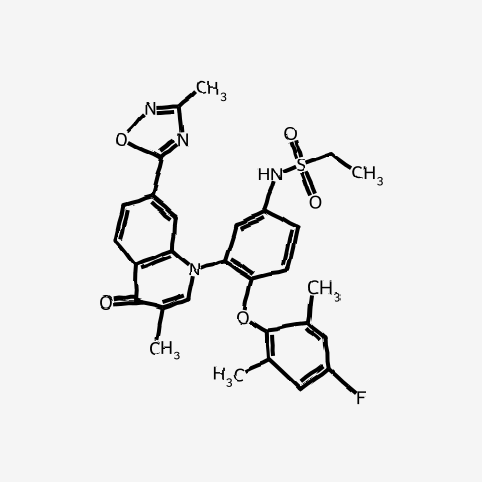 CCS(=O)(=O)Nc1ccc(Oc2c(C)cc(F)cc2C)c(-n2cc(C)c(=O)c3ccc(-c4nc(C)no4)cc32)c1